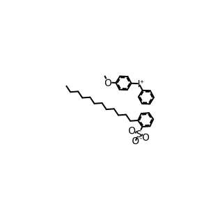 CCCCCCCCCCCCc1ccccc1S(=O)(=O)[O-].COc1ccc([I+]c2ccccc2)cc1